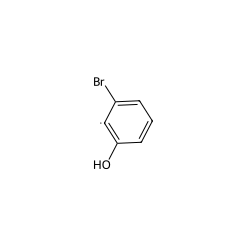 Oc1[c]c(Br)ccc1